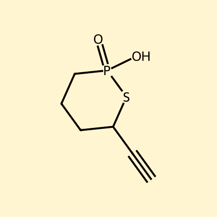 C#CC1CCCP(=O)(O)S1